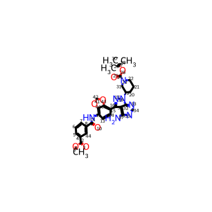 COC(=O)c1cccc(C(=O)Nc2ccc(-c3nn([C@@H]4CCCN(C(=O)OC(C)(C)C)C4)c4ncnc(N)c34)c3c2OCO3)c1